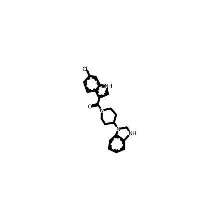 O=C(c1c[nH]c2cc(Cl)ccc12)N1CCC(N2[CH]Nc3ccccc32)CC1